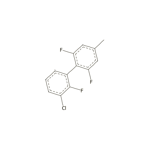 Cc1cc(F)c(-c2[c]ccc(Cl)c2F)c(F)c1